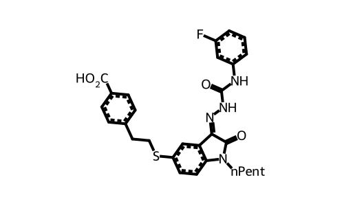 CCCCCN1C(=O)C(=NNC(=O)Nc2cccc(F)c2)c2cc(SCCc3ccc(C(=O)O)cc3)ccc21